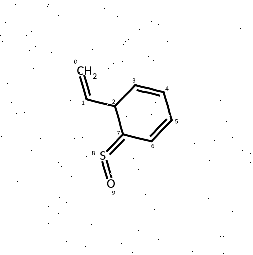 C=CC1C=CC=CC1=S=O